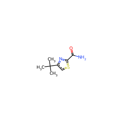 CC(C)(C)c1csc(C(N)=O)n1